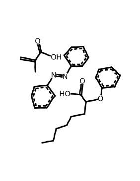 C=C(C)C(=O)O.CCCCCCC(Oc1ccccc1)C(=O)O.c1ccc(N=Nc2ccccc2)cc1